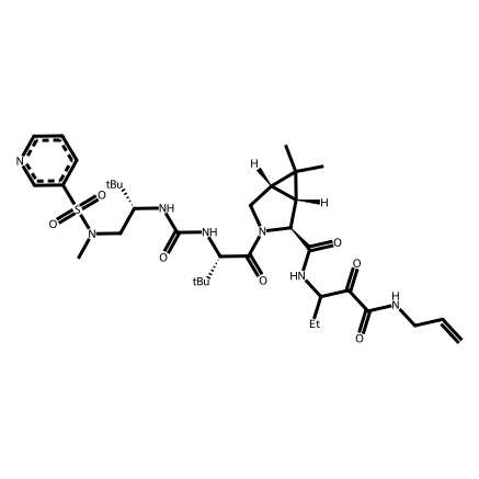 C=CCNC(=O)C(=O)C(CC)NC(=O)[C@@H]1[C@@H]2[C@H](CN1C(=O)[C@@H](NC(=O)N[C@H](CN(C)S(=O)(=O)c1cccnc1)C(C)(C)C)C(C)(C)C)C2(C)C